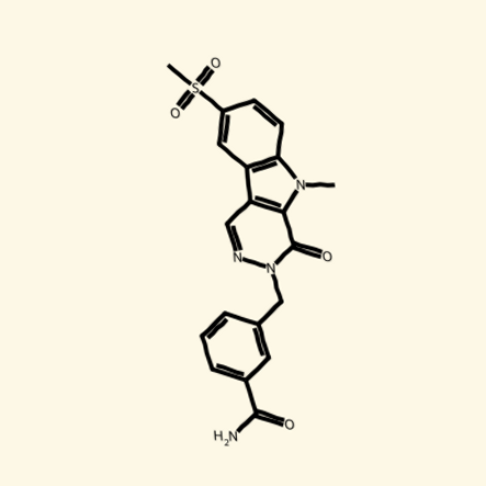 Cn1c2ccc(S(C)(=O)=O)cc2c2cnn(Cc3cccc(C(N)=O)c3)c(=O)c21